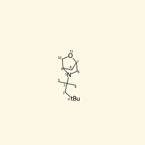 CC(C)(C)CC(C)(C)N1CC2CC1CO2